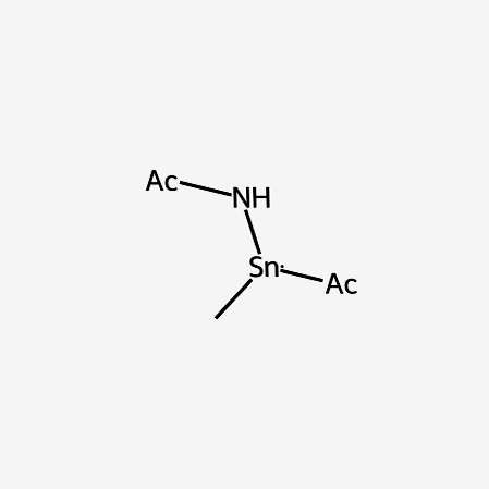 CC(=O)[NH][Sn]([CH3])[C](C)=O